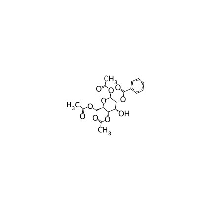 CC(=O)OC[C@H]1O[C@@H](OC(C)=O)[C@H](OC(=O)c2ccccc2)[C@@H](O)[C@H]1OC(C)=O